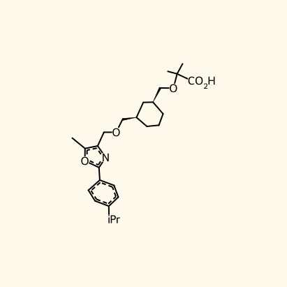 Cc1oc(-c2ccc(C(C)C)cc2)nc1COC[C@@H]1CCC[C@H](COC(C)(C)C(=O)O)C1